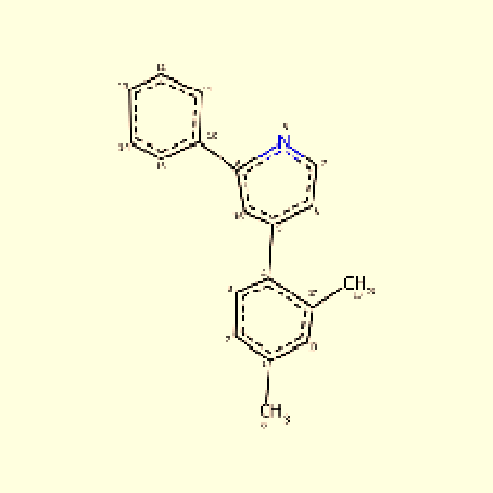 Cc1ccc(-c2ccnc(-c3ccccc3)c2)c(C)c1